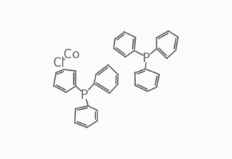 [Cl][Co].c1ccc(P(c2ccccc2)c2ccccc2)cc1.c1ccc(P(c2ccccc2)c2ccccc2)cc1